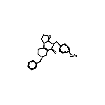 COc1ccc(CN2C(=O)C3=C(CCN(Cc4ccccc4)C3)N3CCN=C23)cc1